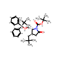 CC(C)(C)C[C@@H]1CC(=O)N(C(=O)OC(C)(C)C)[C@H]1CO[Si](c1ccccc1)(c1ccccc1)C(C)(C)C